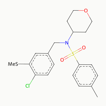 CSc1cc(CN(C2CCOCC2)S(=O)(=O)c2ccc(C)cc2)ccc1Cl